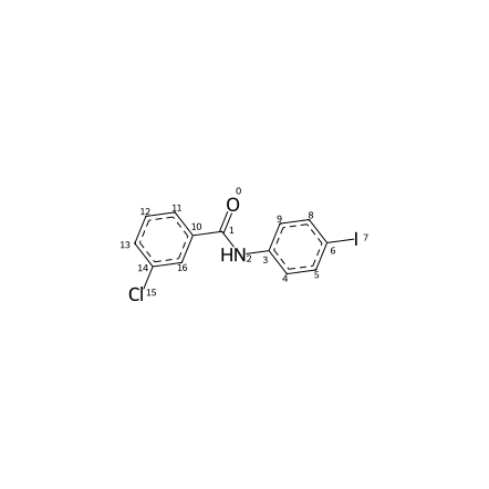 O=C(Nc1ccc(I)cc1)c1cccc(Cl)c1